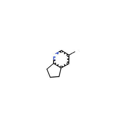 N#Cc1cnc2c(c1)CCC2